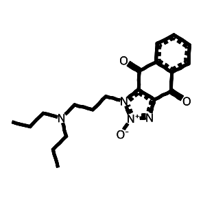 CCCN(CCC)CCCn1c2c(n[n+]1[O-])C(=O)c1ccccc1C2=O